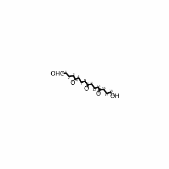 O=[C]CCCC(=O)CCCC(=O)CCCC(=O)CCCO